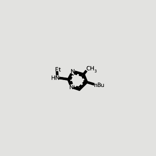 CCCCc1cnc(NCC)nc1C